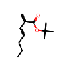 C=C(C=CCCC)C(=O)OC(C)(C)C